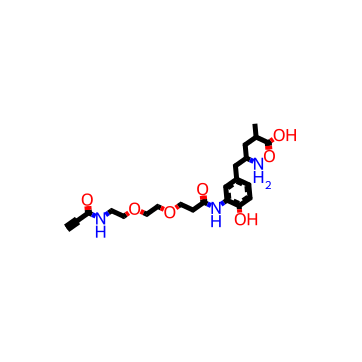 C#CC(=O)NCCOCCOCCC(=O)Nc1cc(CC(N)CC(C)C(=O)O)ccc1O